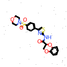 O=C(Nc1nc(C2=CC=C(S(=O)(=O)N3CCOCC3)CC2)cs1)C1COc2ccccc2O1